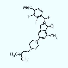 COc1ccc(C(F)N2Cc3cc(N4CCN(CCN(C)C)CC4)cc(C)c3C2=O)c(F)c1F